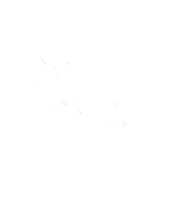 CN1Cc2cc(F)c(N3C(=S)N(c4ccc(C#N)c(C(F)(F)F)c4)C(=O)C3(C)C)cc2C1=O